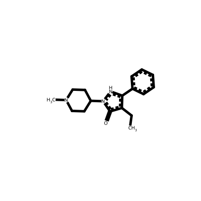 CCc1c(-c2ccccc2)[nH]n(C2CCN(C)CC2)c1=O